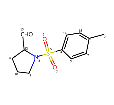 Cc1ccc(S(=O)(=O)N2CCCC2C=O)cc1